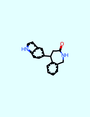 O=C1CC(c2ccc3[nH]ccc3c2)c2ccccc2CN1